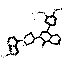 COc1ccc(C2=CC(C3CCN(c4ncnc5c4cnn5C)CC3)C(=O)C3CC=CCC23)cc1OC